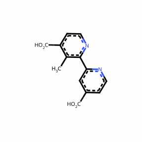 Cc1c(C(=O)O)ccnc1-c1cc(C(=O)O)ccn1